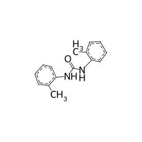 Cc1ccccc1NC(=O)Nc1ccccc1C